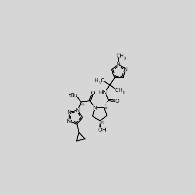 Cn1cc(C(C)(C)NC(=O)[C@@H]2C[C@@H](O)CN2C(=O)[C@@H](n2cc(C3CC3)nn2)C(C)(C)C)cn1